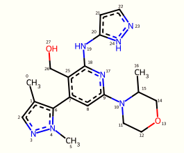 Cc1cnn(C)c1-c1cc(N2CCOCC2C)nc(Nc2ccn[nH]2)c1CO